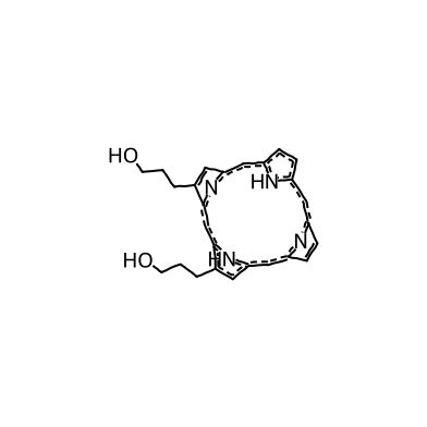 OCCCC1=Cc2cc3ccc(cc4nc(cc5cc(CCCO)c(cc1n2)[nH]5)C=C4)[nH]3